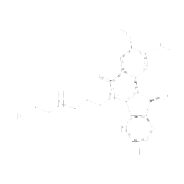 COc1cc2c3c(n(CCCNCCO)c(=O)c2cc1OC)-c1ncccc1C3=O.Cl